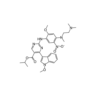 COc1cc(N(C)CCN(C)C)c([N+](=O)[O-])cc1Nc1ncc(C(=O)OC(C)C)c(-c2cn(OC)c3ccccc23)n1